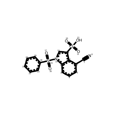 N#Cc1cccc2c1c(S(=O)(=O)O)cn2S(=O)(=O)c1ccccc1